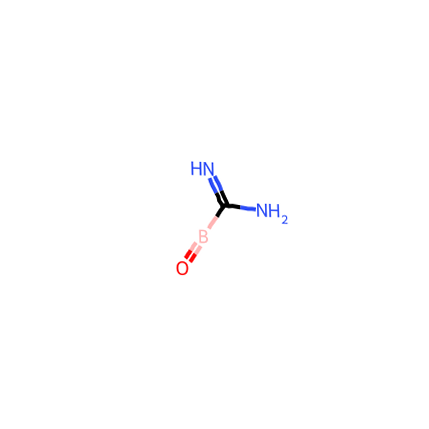 N=C(N)B=O